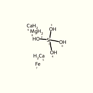 O[Si](O)(O)O.[CaH2].[CaH2].[Fe].[MgH2]